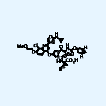 C=C[C@@H]1C[C@]1(NC(=O)[C@@H]1C[C@@H](Oc2cc(-c3coc(NC4CC4)n3)nc3c(Cl)c(OCCOC)ccc23)CN1C(=O)[C@@H](NC(=O)O[C@@H]1C[C@@H]2C[C@@H]2C1)C(C)(C)C)C(=O)O